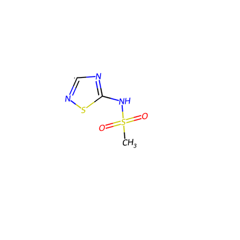 CS(=O)(=O)Nc1n[c]ns1